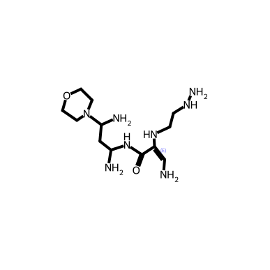 N/C=C(/NCCNN)C(=O)NC(N)CC(N)N1CCOCC1